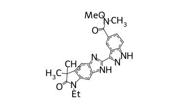 CCN1C(=O)C(C)(C)c2cc3nc(-c4n[nH]c5ccc(C(=O)N(C)OC)cc45)[nH]c3cc21